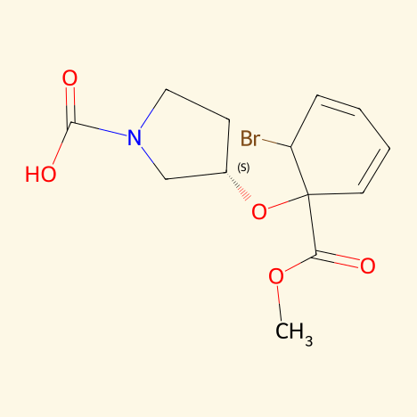 COC(=O)C1(O[C@H]2CCN(C(=O)O)C2)C=CC=CC1Br